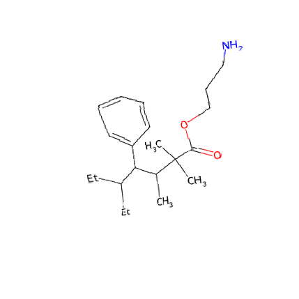 CCC(CC)C(c1ccccc1)C(C)C(C)(C)C(=O)OCCCN